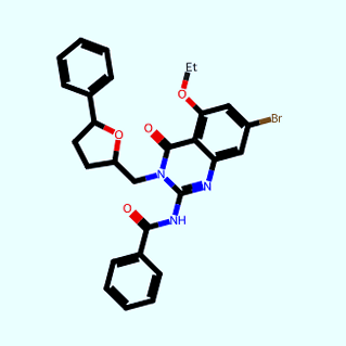 CCOc1cc(Br)cc2nc(NC(=O)c3ccccc3)n(CC3CCC(c4ccccc4)O3)c(=O)c12